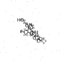 CC1(C)COC(c2nc(-c3ccc(F)cc3)c(-c3ccnc(OCCCO)n3)[nH]2)OC1